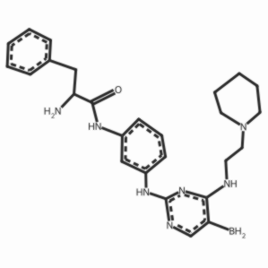 Bc1cnc(Nc2cccc(NC(=O)C(N)Cc3ccccc3)c2)nc1NCCN1CCCCC1